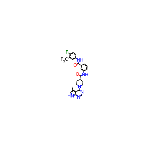 Cc1c[nH]c2ncnc(N3CCC(C(=O)Nc4cccc(C(=O)Nc5ccc(F)c(C(F)(F)F)c5)c4)CC3)c12